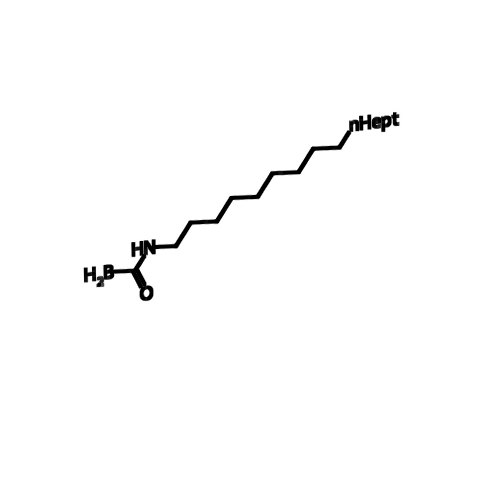 BC(=O)NCCCCCCCCCCCCCCCC